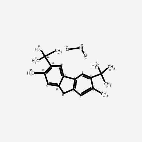 Cc1cc2c(cc1C(C)(C)C)-c1cc(C(C)(C)C)c(C)cc1[CH]2.[Cl][Hf][Cl]